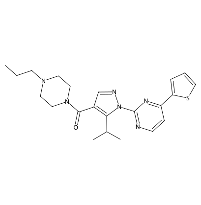 CCCN1CCN(C(=O)c2cnn(-c3nccc(-c4cccs4)n3)c2C(C)C)CC1